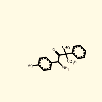 NC(C(=O)C([C]=O)(C(=O)O)c1ccccc1)c1ccc(O)cc1